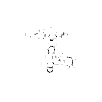 CCn1nccc1C(=O)N[C@H](C(=O)Nc1ccc(C[C@@H](NC(=O)NC(C)C)C(O)N2CCN(C)CC2)cc1F)C1CCCCCC1